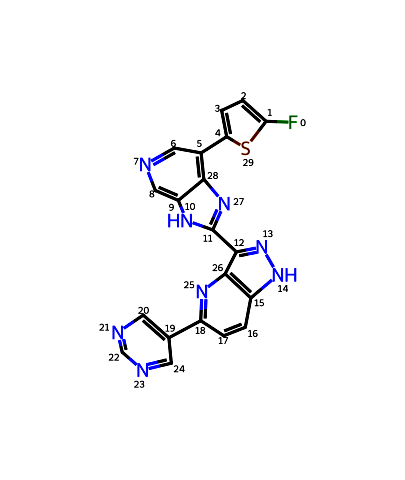 Fc1ccc(-c2cncc3[nH]c(-c4n[nH]c5ccc(-c6cncnc6)nc45)nc23)s1